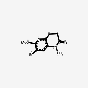 COc1nc2c(cc1Br)N(C)C(=O)CC2